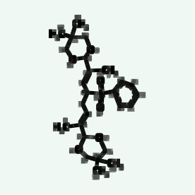 C/C(=C\CC(/C=C(\C)C1OCC(C)(C)CO1)S(=O)(=O)c1ccccc1)C1OCC(C)(C)CO1